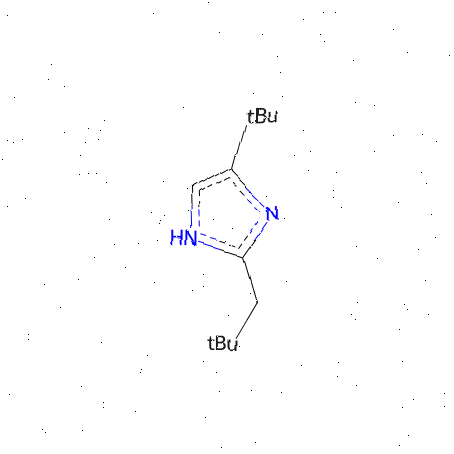 CC(C)(C)Cc1nc(C(C)(C)C)c[nH]1